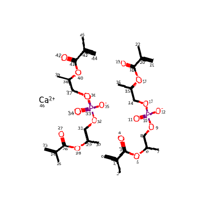 C=C(C)C(=O)OC(C)COP(=O)([O-])OCC(C)OC(=O)C(=C)C.C=C(C)C(=O)OC(C)COP(=O)([O-])OCC(C)OC(=O)C(=C)C.[Ca+2]